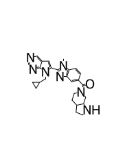 Cn1c(-c2cc3cncnc3n2CC2CC2)nc2cc(C(=O)N3CCC4CCNC4C3)ccc21